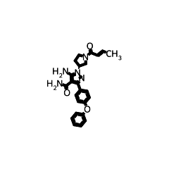 CC=CC(=O)N1CC[C@@H](n2nc(-c3ccc(Oc4ccccc4)cc3)c(C(N)=O)c2N)C1